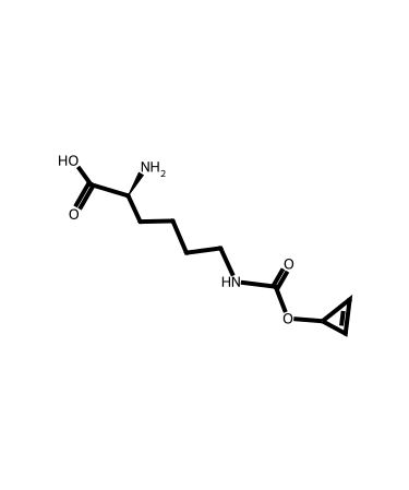 N[C@@H](CCCCNC(=O)OC1C=C1)C(=O)O